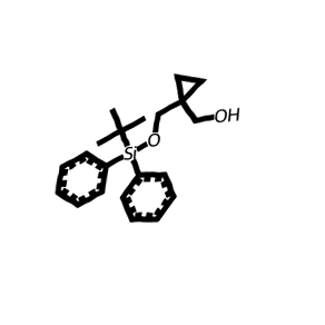 CC(C)(C)[Si](OCC1(CO)CC1)(c1ccccc1)c1ccccc1